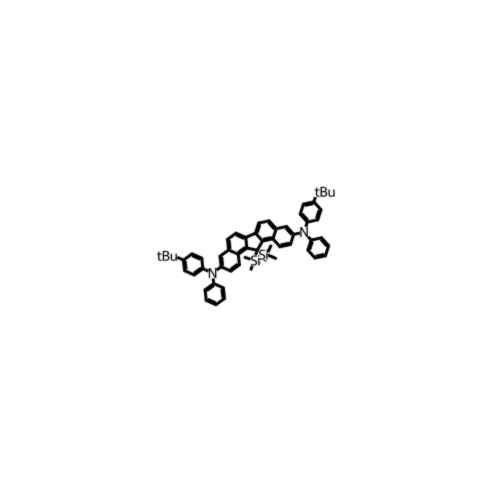 CC(C)(C)c1ccc(N(c2ccccc2)c2ccc3c4c(ccc3c2)-c2ccc3cc(N(c5ccccc5)c5ccc(C(C)(C)C)cc5)ccc3c2C4([Si](C)(C)C)[Si](C)(C)C)cc1